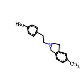 Cc1ccc2c(c1)CCN(CCc1ccc(C(C)(C)C)cc1)C2